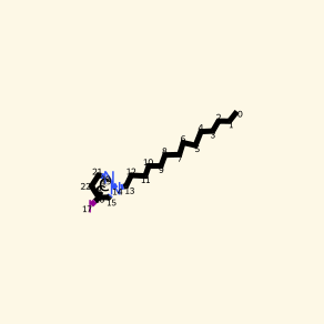 CCCCCCCCCCCCCCN1CC2(I)CCN1CC2